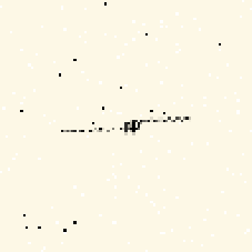 CCCCCCCCCCCCCCCC[n+]1ccc(CCCCCCCCCCCC)cc1